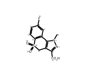 Cn1nc(C(=O)O)c2c1-c1cc(F)ccc1S(=O)(=O)C2